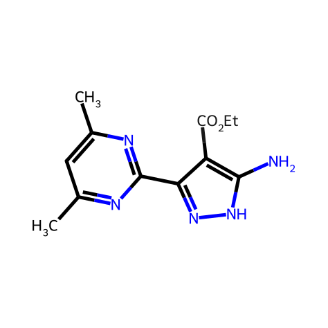 CCOC(=O)c1c(-c2nc(C)cc(C)n2)n[nH]c1N